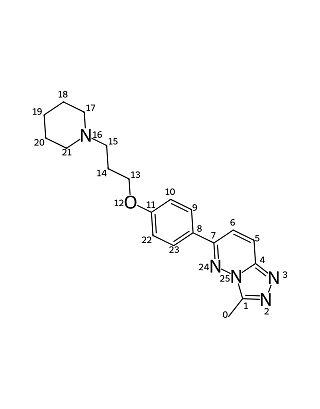 Cc1nnc2ccc(-c3ccc(OCCCN4CCCCC4)cc3)nn12